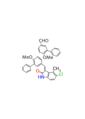 COc1ccc(C=C2C(=O)Nc3ccc(Cl)c(C)c32)cc1-c1ccccc1.COc1ccc(C=O)cc1-c1ccccc1